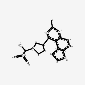 Cc1nc(C2CCN(C(C#N)[SH](=O)=O)C2)c2c(nnc3[nH]ccc32)n1